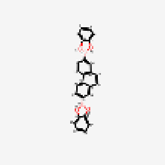 c1ccc2c(c1)OB(c1ccc3c(ccc4cc(B5Oc6ccccc6O5)ccc43)c1)O2